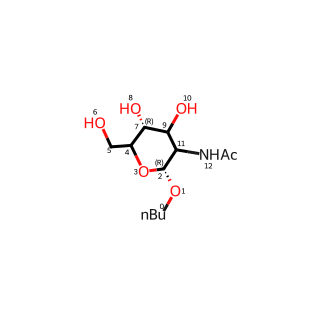 CCCCO[C@@H]1OC(CO)[C@H](O)C(O)C1NC(C)=O